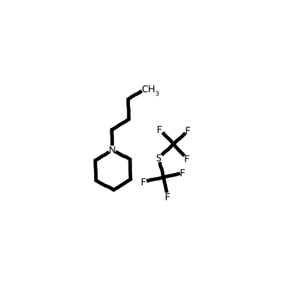 CCCCN1CCCCC1.FC(F)(F)SC(F)(F)F